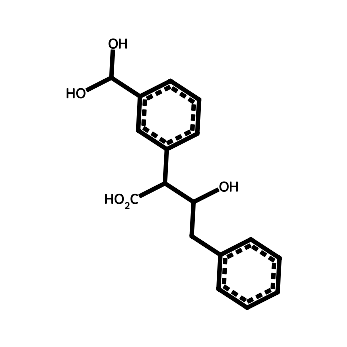 O=C(O)C(c1cccc(C(O)O)c1)C(O)Cc1ccccc1